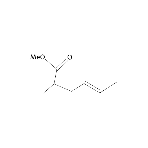 C/C=C/CC(C)C(=O)OC